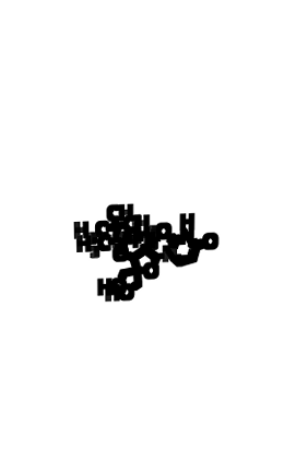 CC(C)(C)[Si](C)(C)OC1C(CO)(CO)O[C@@H](n2ccc(=O)[nH]c2=O)C1(F)F